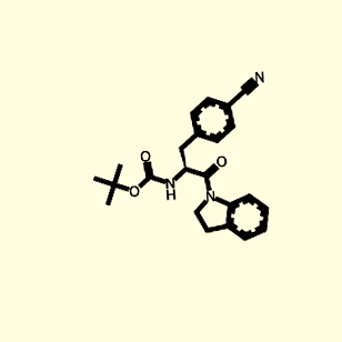 CC(C)(C)OC(=O)N[C@@H](Cc1ccc(C#N)cc1)C(=O)N1CCc2ccccc21